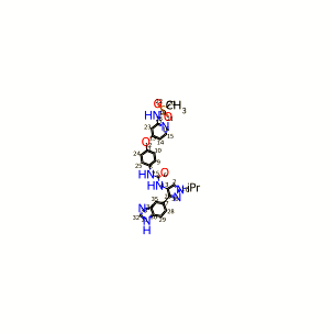 CC(C)n1cc(NC(=O)Nc2ccc(Oc3ccnc(NS(C)(=O)=O)c3)cc2)c(-c2ccc3[nH]cnc3c2)n1